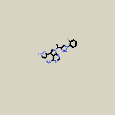 CC(c1cn(-c2ccccc2F)nn1)n1cc(-c2cc[nH]n2)c2c(N)ncnc21